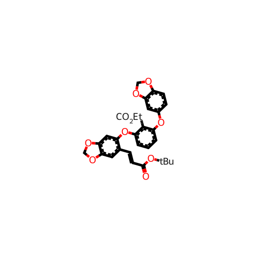 CCOC(=O)c1c(Oc2ccc3c(c2)OCO3)cccc1Oc1cc2c(cc1C=CC(=O)OC(C)(C)C)OCO2